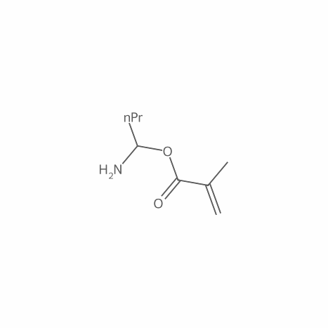 C=C(C)C(=O)OC(N)CCC